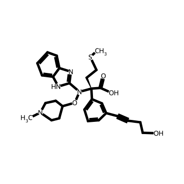 CSCC[C@@](C(=O)O)(c1cccc(C#CCCO)c1)N(OC1CCN(C)CC1)c1nc2ccccc2[nH]1